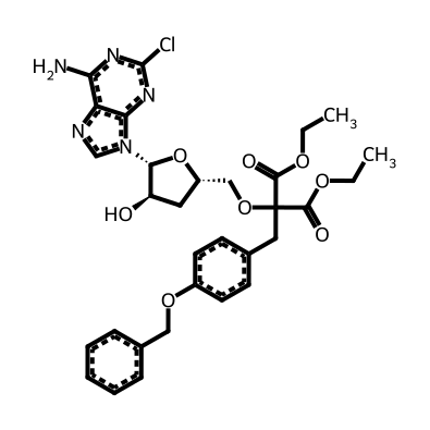 CCOC(=O)C(Cc1ccc(OCc2ccccc2)cc1)(OC[C@@H]1C[C@@H](O)[C@H](n2cnc3c(N)nc(Cl)nc32)O1)C(=O)OCC